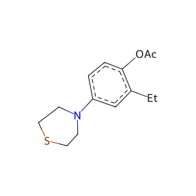 CCc1cc(N2CCSCC2)ccc1OC(C)=O